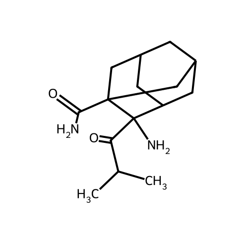 CC(C)C(=O)C1(N)C2CC3CC(C2)CC1(C(N)=O)C3